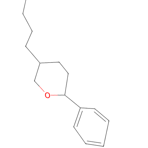 CCCCC1CCC(c2ccccc2)OC1